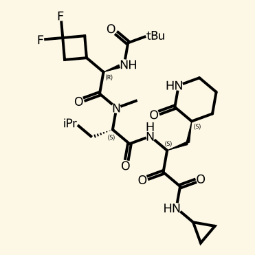 CC(C)C[C@@H](C(=O)N[C@@H](C[C@@H]1CCCNC1=O)C(=O)C(=O)NC1CC1)N(C)C(=O)[C@H](NC(=O)C(C)(C)C)C1CC(F)(F)C1